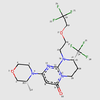 C[C@@H]1COCCN1c1cc(=O)n2c(n1)N(CCOCC(F)(F)F)[C@H](C(F)(F)F)CC2